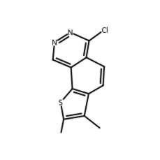 Cc1sc2c(ccc3c(Cl)nncc32)c1C